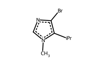 CC(C)c1c(Br)ncn1C